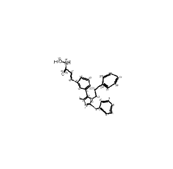 Cc1nc(Cc2ccccc2)n(CCc2ccccc2)c1-c1cccc(C=CC(=O)NO)c1